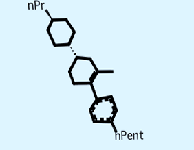 CCCCCc1ccc(C2=C(C)CC([C@H]3CC[C@H](CCC)CC3)CC2)cc1